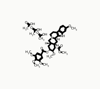 CC(=O)O.CC(=O)O.CC(=O)O.COC(=O)[C@H]1[C@H]2C[C@@H]3c4[nH]c5cc(OC)ccc5c4CCN3C[C@H]2C[C@@H](OC(=O)c2cc(OC)c(OC)c(OC)c2)[C@@H]1OC